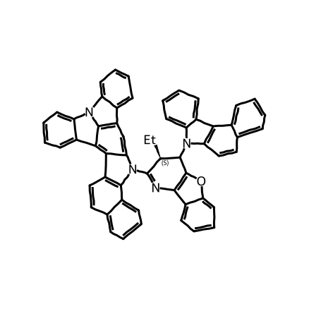 CC[C@@H]1C(n2c3cc4c5ccccc5n5c6ccccc6c(c3c3ccc6ccccc6c32)c45)=Nc2c(oc3ccccc23)C1n1c2ccccc2c2c3ccccc3ccc21